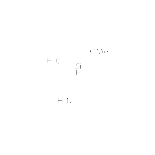 CO[SiH](C)CN